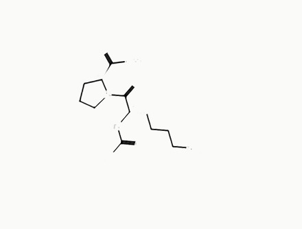 COC(=O)[C@@H]1CCCN1C(=O)[C@H](CCCCN)NC(=O)C(F)(F)F